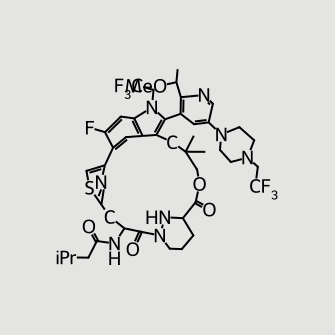 COC(C)c1ncc(N2CCN(CC(F)(F)F)CC2)cc1-c1c2c3cc(c(F)cc3n1CC(F)(F)F)-c1csc(n1)CC(NC(=O)CC(C)C)C(=O)N1CCCC(N1)C(=O)OCC(C)(C)C2